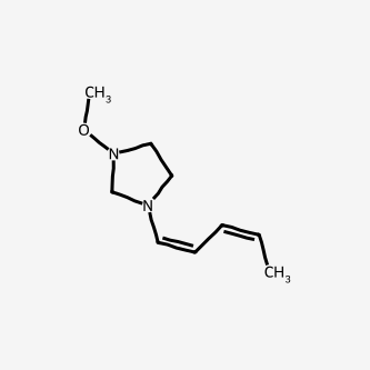 C/C=C\C=C/N1CCN(OC)C1